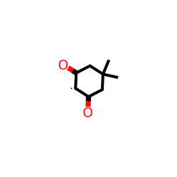 CC1(C)CC(=O)[CH]C(=O)C1